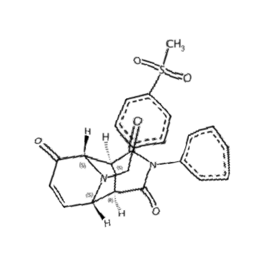 CS(=O)(=O)c1ccc(CN2[C@@H]3C(=O)C=C[C@H]2[C@@H]2C(=O)N(c4ccccc4)C(=O)[C@@H]23)cc1